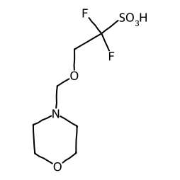 O=S(=O)(O)C(F)(F)COCN1CCOCC1